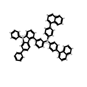 c1ccc(-c2ccc3c4c(-c5cccc(N(c6ccc(-c7cccc8ccccc78)cc6)c6ccc(-c7cccc8ccccc78)cc6)c5)cccc4n(-c4ccccc4)c3c2)cc1